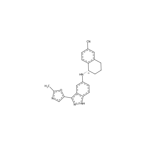 Cc1ncc(-c2n[nH]c3ccc(N[C@H]4CCCc5cc(C#N)ccc54)cc23)o1